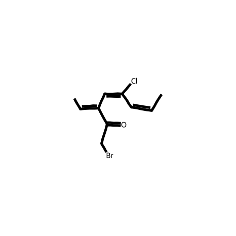 C\C=C/C(Cl)=C\C(=C/C)C(=O)CBr